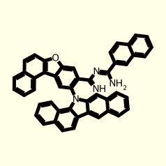 N=C(/N=C(\N)c1ccc2ccccc2c1)c1cc2oc3ccc4ccccc4c3c2cc1-n1c2cc3ccccc3cc2c2ccc3ccccc3c21